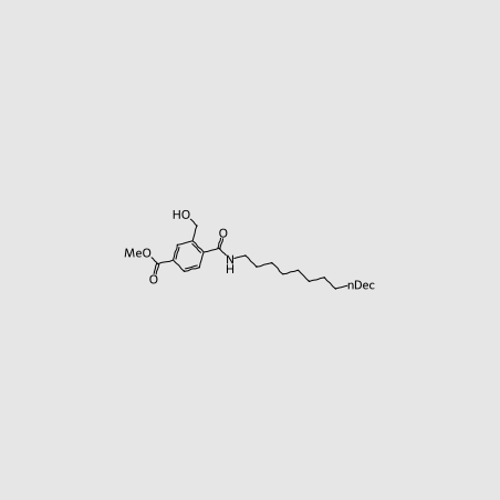 CCCCCCCCCCCCCCCCCCNC(=O)c1ccc(C(=O)OC)cc1CO